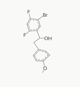 COc1ccc(CC(O)c2cc(Br)c(F)cc2F)cc1